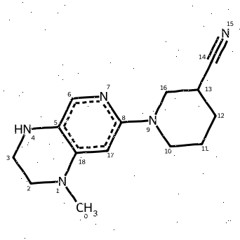 CN1CCNc2cnc(N3CCCC(C#N)C3)cc21